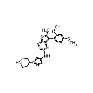 COc1cc(SC)ccc1-c1c(C)sc2cnc(Nc3cnn(C4CCNCC4)c3)nc12